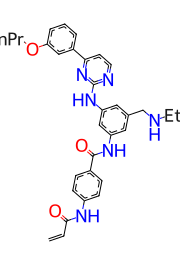 C=CC(=O)Nc1ccc(C(=O)Nc2cc(CNCC)cc(Nc3nccc(-c4cccc(OCCC)c4)n3)c2)cc1